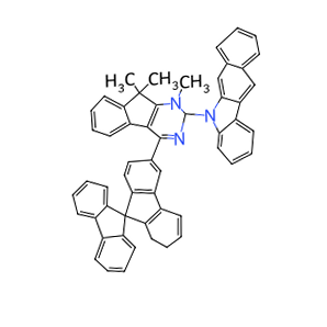 CN1C2=C(C(c3ccc4c(c3)C3=C(CCC=C3)C43c4ccccc4-c4ccccc43)=NC1n1c3ccccc3c3cc4ccccc4cc31)c1ccccc1C2(C)C